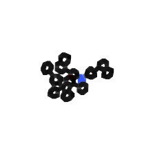 c1ccc(-c2ccc(C3(c4ccccc4)c4ccccc4-c4c(-c5ccccc5N(c5ccc(-c6cccc7ccccc67)cc5)c5ccc(-c6cccc7ccccc67)cc5)cccc43)cc2)cc1